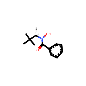 C[C@H](N(O)C(=O)c1ccccc1)C(C)(C)C